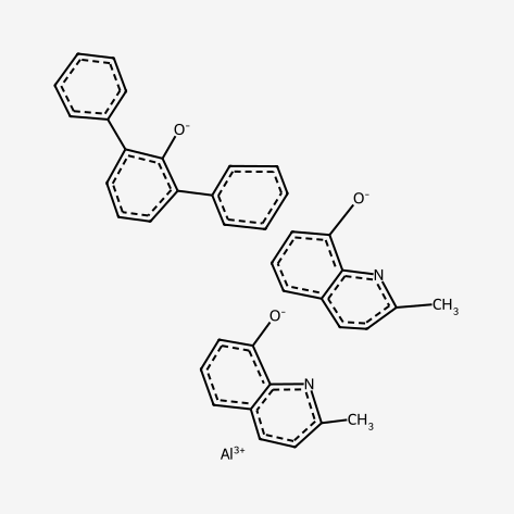 Cc1ccc2cccc([O-])c2n1.Cc1ccc2cccc([O-])c2n1.[Al+3].[O-]c1c(-c2ccccc2)cccc1-c1ccccc1